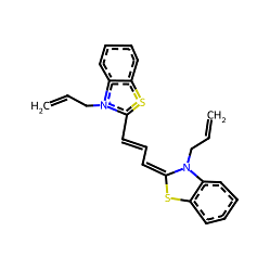 C=CCN1C(=CC=Cc2sc3ccccc3[n+]2CC=C)Sc2ccccc21